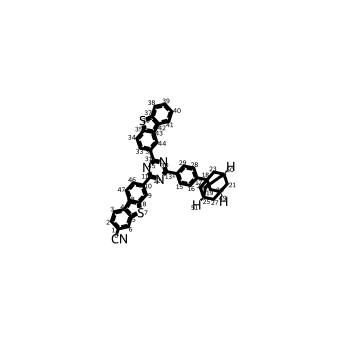 N#Cc1ccc2c(c1)sc1cc(-c3nc(-c4ccc(C56C[C@H]7C[C@H](C5)C[C@@H](C6)C7)cc4)nc(-c4ccc5sc6ccccc6c5c4)n3)ccc12